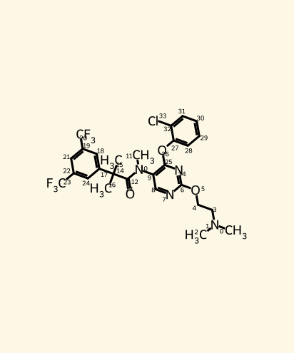 CN(C)CCOc1ncc(N(C)C(=O)C(C)(C)c2cc(C(F)(F)F)cc(C(F)(F)F)c2)c(Oc2ccccc2Cl)n1